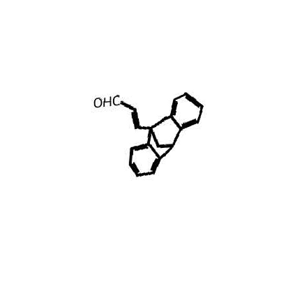 O=CC=CC12CC(c3ccccc31)c1ccccc12